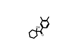 [CH2]c1ccc(C(=O)C2(O)CCCCC2)cc1C